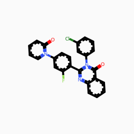 O=c1ccccn1-c1ccc(-c2nc3ccccc3c(=O)n2-c2cccc(Cl)c2)c(F)c1